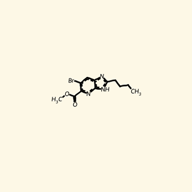 CCCCc1nc2cc(Br)c(C(=O)OC)nc2[nH]1